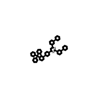 c1ccc(-c2cccc(-c3cc(-c4ccc(-c5cccc6c5-c5ccccc5C6(c5ccccc5)c5ccccc5)cc4)nc(-c4cccc(-c5ccccc5)c4)n3)c2)cc1